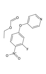 CCOC=O.O=[N+]([O-])c1ccc(Oc2ccncc2)cc1F